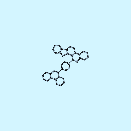 c1ccc2c(c1)cc(-c1ccc(-c3nc4ccccc4c4ccc5c6ccccc6oc5c34)cc1)c1ccccc12